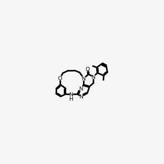 Cc1c#ccc(C)c1N1Cc2cnc3nc2N(CCCCOc2cccc(c2)N3)C1=O